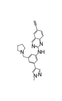 C#Cc1ccc2nc(Nc3cc(CN4CCCC4)cc(-c4cnn(C)c4)c3)ncc2c1